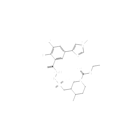 CCNC(=O)N1CCC(C)C(CS(=O)(=O)NNC(=O)c2cc(-c3cn(C)cn3)cc(Cl)c2F)C1